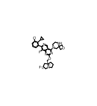 Fc1c(-c2cccc(Cl)c2C2CC2)ncc2c(N3CCNC4(COC4)C3)nc(OC[C@@]34CCCN3C[C@H](F)C4)nc12